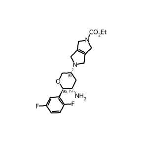 CCOC(=O)N1CC2=C(C1)CN([C@H]1CO[C@H](c3cc(F)ccc3F)[C@@H](N)C1)C2